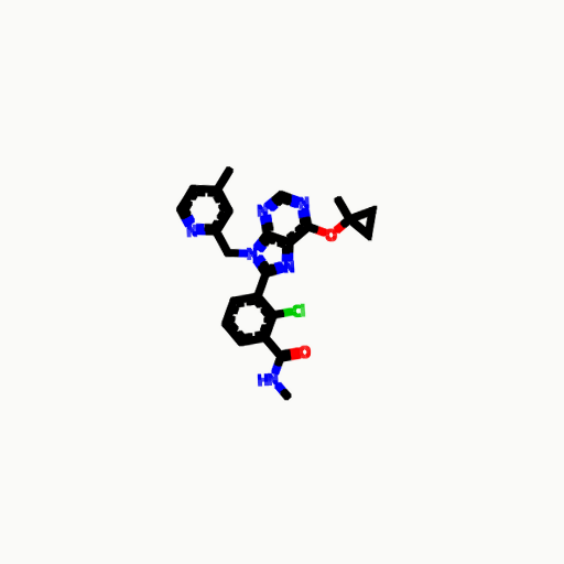 CNC(=O)c1cccc(-c2nc3c(OC4(C)CC4)ncnc3n2Cc2cc(C)ccn2)c1Cl